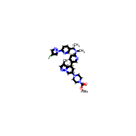 C[C@@H](c1ccc(-n2cc(F)cn2)nc1)N(C)c1ccc(-c2cc(N3CCN(C(=O)OC(C)(C)C)CC3)cn3ncc(C#N)c23)cn1